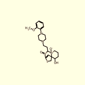 COc1ccccc1N1CCN(CCC2[N+](=O)C3=CC4(CS3)C(O)CCC[N+]24[O-])CC1